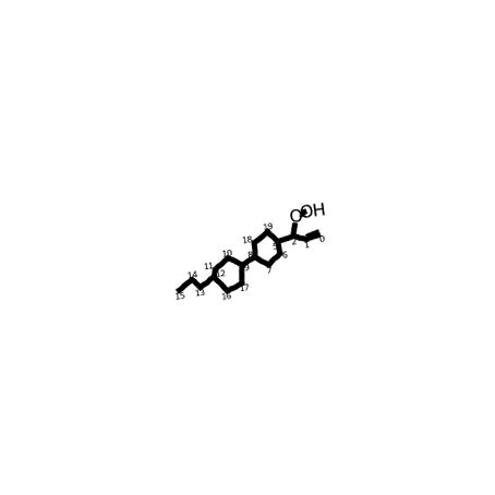 C=CC(OO)C1CCC(C2CCC(CCC)CC2)CC1